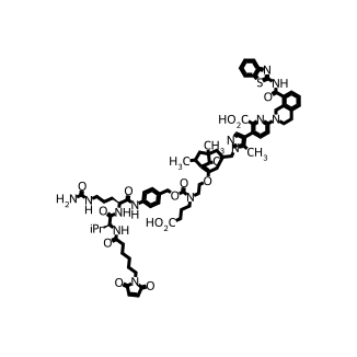 Cc1c(-c2ccc(N3CCc4cccc(C(=O)Nc5nc6ccccc6s5)c4C3)nc2C(=O)O)cnn1CC12CC(OCCN(CCCC(=O)O)C(=O)OCc3ccc(NC(=O)[C@H](CCCNC(N)=O)NC(=O)[C@@H](NC(=O)CCCCCN4C(=O)C=CC4=O)C(C)C)cc3)=C3C(C)CC(C)(C1)C3C2